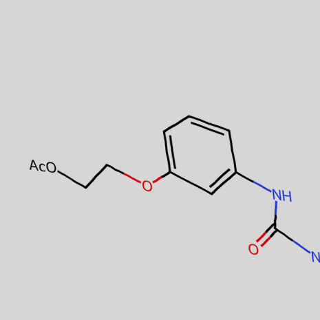 CC(=O)OCCOc1cccc(NC(N)=O)c1